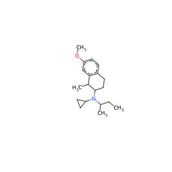 CCC(C)N(C1CC1)C1CCc2ccc(OC)cc2C1C